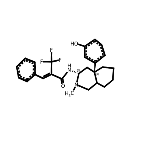 CN1CC2CCCC[C@@]2(c2cccc(O)c2)C[C@H]1NC(=O)C(=Cc1ccccc1)C(F)(F)F